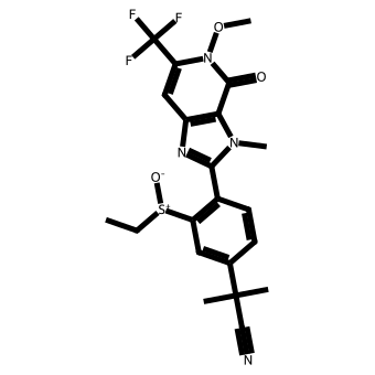 CC[S+]([O-])c1cc(C(C)(C)C#N)ccc1-c1nc2cc(C(F)(F)F)n(OC)c(=O)c2n1C